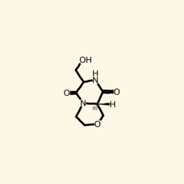 O=C1NC(CO)C(=O)N2CCOC[C@@H]12